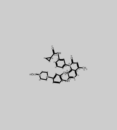 CCCCCCCCN1CCN(c2ccc(Nc3ncc4c(C)cc(=O)n(-c5cccc(NC(=O)C6CC6)c5)c4n3)c(OC)c2)CC1